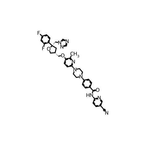 Cc1nc(N2CCN(c3ccc(C(=O)Nc4ccc(C#N)cn4)cc3)CC2)ccc1OC[C@@H]1CO[C@@](Cn2cncn2)(c2ccc(F)cc2F)C1